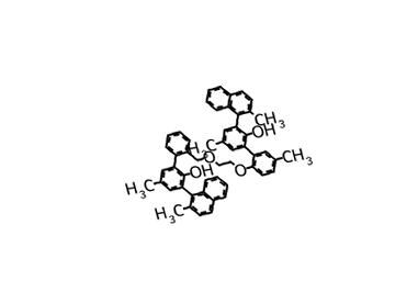 Cc1ccc(OCCOCc2ccccc2-c2cc(C)cc(-c3c(C)ccc4ccccc34)c2O)c(-c2cc(C)cc(-c3c(C)ccc4ccccc34)c2O)c1